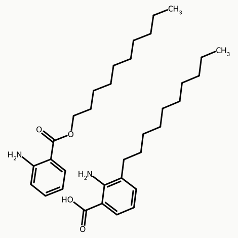 CCCCCCCCCCOC(=O)c1ccccc1N.CCCCCCCCCCc1cccc(C(=O)O)c1N